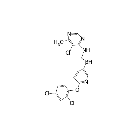 Cc1ncnc(NCBc2ccc(Oc3ccc(Cl)cc3Cl)nc2)c1Cl